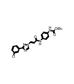 CC(C)COC(=O)Nc1ccc(NC(=O)/C=C/n2cnc(-c3cccc(Cl)c3)n2)cc1